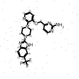 Nc1nccc(COc2cccnc2N2CCN(c3nc4ccc(C(F)(F)F)cc4[nH]3)CC2)n1